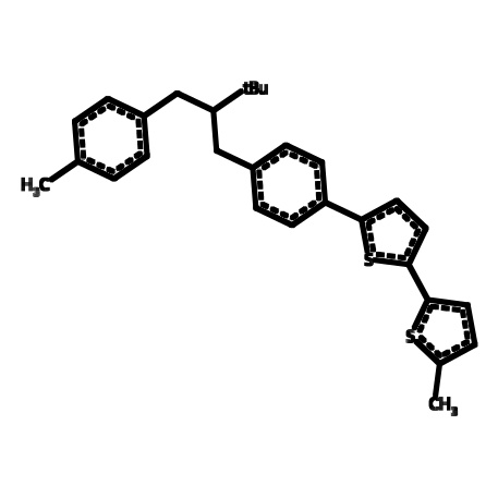 Cc1ccc(CC(Cc2ccc(-c3ccc(-c4ccc(C)s4)s3)cc2)C(C)(C)C)cc1